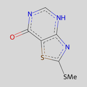 CSc1nc2[nH]cnc(=O)c2s1